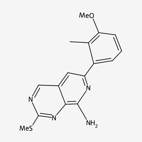 COc1cccc(-c2cc3cnc(SC)nc3c(N)n2)c1C